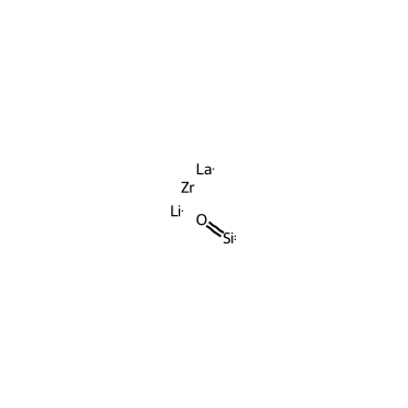 O=[Si].[La].[Li].[Zr]